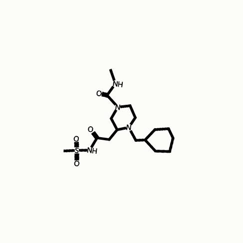 CNC(=O)N1CCN(CC2CCCCC2)C(CC(=O)NS(C)(=O)=O)C1